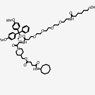 CCCCCCCCCCCCCCCC(=O)NCCOCCOCCOCCOCCC(=O)N[C@@H](COC(c1ccccc1)(c1ccc(OC)cc1)c1ccc(OC)cc1)C(=O)N1CCC(COC(=O)CCC(=O)NC2CCCCCCC2)CC1